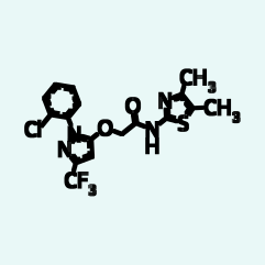 Cc1nc(NC(=O)COc2cc(C(F)(F)F)nn2-c2ccccc2Cl)sc1C